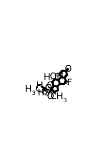 CCC(=O)O[C@]1(C(=O)S)[C@H](C)CC2C3C[C@H](F)C4=CC(=O)C=CC4(C)C3C(O)CC21C